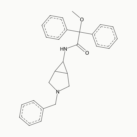 COC(C(=O)NC1C2CN(Cc3ccccc3)CC21)(c1ccccc1)c1ccccc1